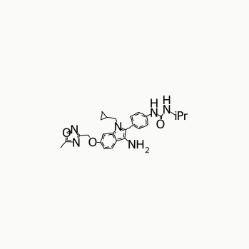 Cc1nc(COc2ccc3c(N)c(-c4ccc(NC(=O)NC(C)C)cc4)n(CC4CC4)c3c2)no1